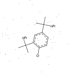 CCCC(C)(C)c1ccc([O])c(C(C)(C)CCC)c1